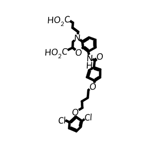 O=C(O)CCCN1CC(C(=O)O)Oc2c(NC(=O)c3ccc(OCCCCOc4c(Cl)cccc4Cl)cc3)cccc21